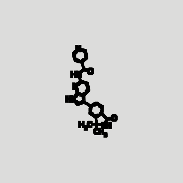 CC1(C)NC(=O)c2ccc(-c3c[nH]c4nc(NC(=O)c5ccncc5)ccc34)cc21